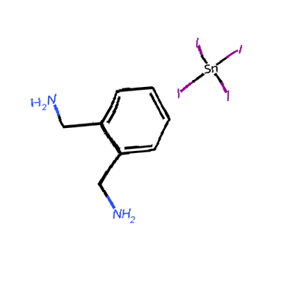 NCc1ccccc1CN.[I][Sn]([I])([I])[I]